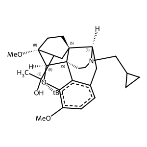 COc1ccc2c3c1O[C@@H]1[C@]34CCN(CC3CC3)[C@H](C2)[C@]42CC[C@@]1(OC)C([C@](C)(O)C(C)(C)C)C2